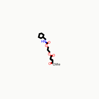 COC(=O)/C=C/C(=O)OCCCOC(=O)NCC1CCCCC1